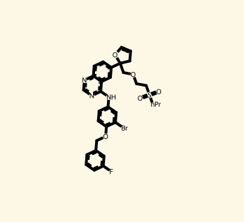 CCCS(=O)(=O)CCOCC1(c2ccc3ncnc(Nc4ccc(OCc5cccc(F)c5)c(Br)c4)c3c2)CC=CO1